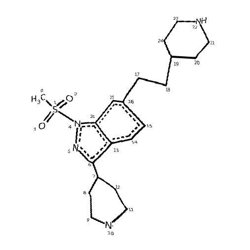 CS(=O)(=O)n1nc(C2CC[N]CC2)c2ccc(CCC3CCNCC3)cc21